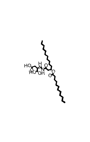 CCCCCCCCCCCC(=O)OC(CCCCCCCCCCC)CC(=O)NNC(CC(=O)O)C(=O)O